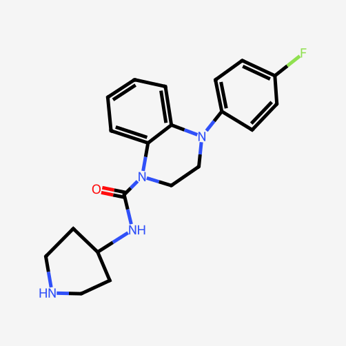 O=C(NC1CCNCC1)N1CCN(c2ccc(F)cc2)c2ccccc21